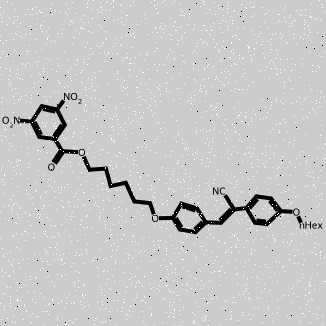 CCCCCCOc1ccc(C(C#N)=Cc2ccc(OCCCCCCOC(=O)c3cc([N+](=O)[O-])cc([N+](=O)[O-])c3)cc2)cc1